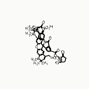 CN1c2cc3c(cc2C(CS(=O)(=O)O)=CC1(C)C)C1(c2cc4c(cc2O3)N(C)C(C)(C)C=C4CS(=O)(=O)O)c2ccc(C(=O)ON3C(=O)CCC3=O)cc2C(=O)N1c1ccc2c(C(F)(F)F)cc(=O)oc2c1